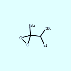 CCC(C(C)(C)C)C1(C(C)(C)C)OO1